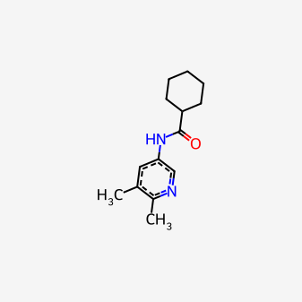 Cc1cc(NC(=O)C2CCCCC2)cnc1C